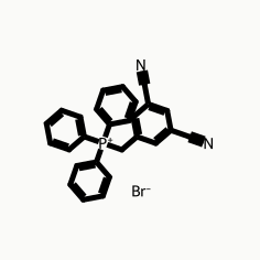 N#Cc1cc(C#N)cc(C[P+](c2ccccc2)(c2ccccc2)c2ccccc2)c1.[Br-]